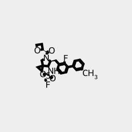 Cc1cccc(-c2cccc(C[C@H]3[C@@H](NS(=O)(=O)CF)C4(CC4)CN3C(=O)[C@H]3CCO3)c2F)c1